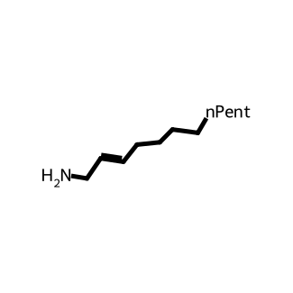 CCCCCCCCCC=CCN